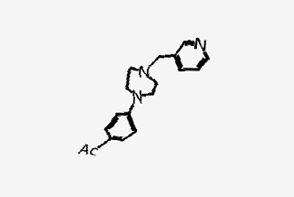 CC(=O)c1ccc(N2CCN(Cc3cccnc3)CC2)cc1